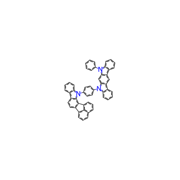 c1ccc(-n2c3ccccc3c3cc4c5ccccc5n(-c5ccc(-n6c7ccccc7c7ccc8c(c76)-c6cccc7cccc-8c67)cc5)c4cc32)cc1